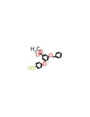 COC(=O)c1cc(OCc2ccccc2)cc(Oc2ccc(S)cc2)c1